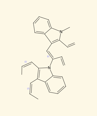 C=C/C(=C\c1c(C=C)n(C)c2ccccc12)n1c(/C=C\C)c(/C=C\C)c2ccccc21